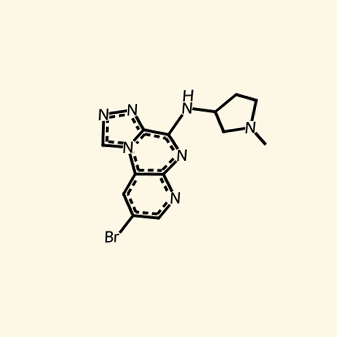 CN1CCC(Nc2nc3ncc(Br)cc3n3cnnc23)C1